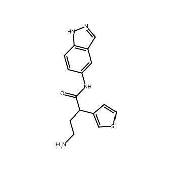 NCCC(C(=O)Nc1ccc2[nH]ncc2c1)c1ccsc1